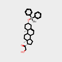 CC(C)(C)[Si](O[C@H]1CC[C@@]2(C)C(=CCC3C2CC[C@@]2(C)C3CC[C@@H]2C(=O)CO)C1)(c1ccccc1)c1ccccc1